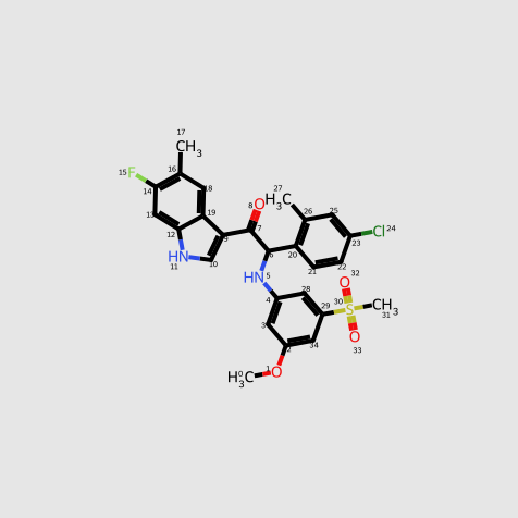 COc1cc(NC(C(=O)c2c[nH]c3cc(F)c(C)cc23)c2ccc(Cl)cc2C)cc(S(C)(=O)=O)c1